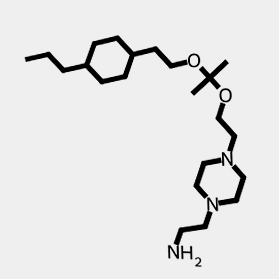 CCCC1CCC(CCOC(C)(C)OCCN2CCN(CCN)CC2)CC1